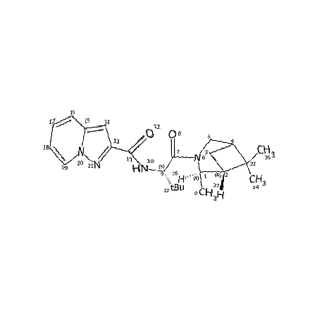 C[C@@H]1[C@@H]2CC(CN1C(=O)[C@@H](NC(=O)c1cc3ccccn3n1)C(C)(C)C)C2(C)C